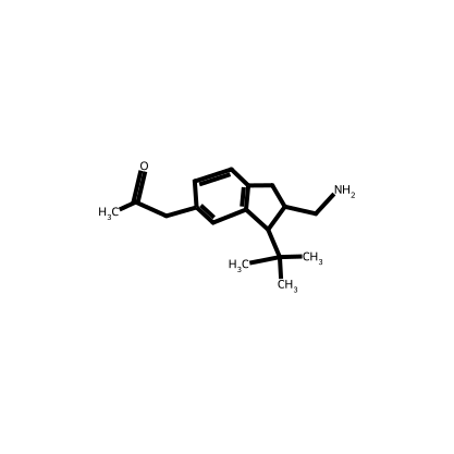 CC(=O)Cc1ccc2c(c1)C(C(C)(C)C)C(CN)C2